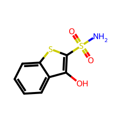 NS(=O)(=O)c1sc2ccccc2c1O